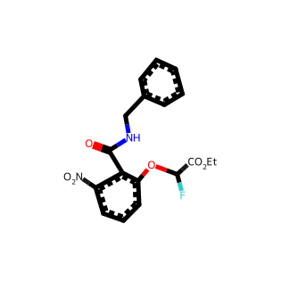 CCOC(=O)C(F)Oc1cccc([N+](=O)[O-])c1C(=O)NCc1ccccc1